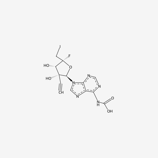 C#C[C@]1(O)[C@H](n2cnc3c(NC(=O)O)ncnc32)O[C@](F)(CI)[C@H]1O